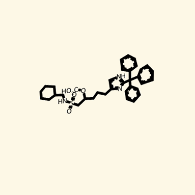 O=C(O)OC(CCCc1c[nH]c(C(c2ccccc2)(c2ccccc2)c2ccccc2)n1)CS(=O)(=O)NCC1CCCCC1